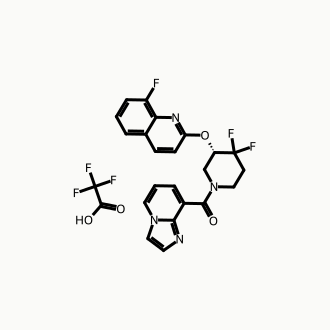 O=C(O)C(F)(F)F.O=C(c1cccn2ccnc12)N1CCC(F)(F)[C@@H](Oc2ccc3cccc(F)c3n2)C1